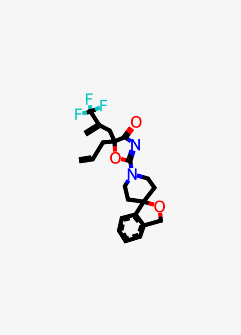 C=CCC1(CC(=C)C(F)(F)F)OC(N2CCC3(CC2)OCc2ccccc23)=NC1=O